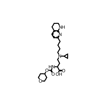 O=C(NC(CCN(CCCCc1ccc2c(n1)NCCC2)C1CC1)C(=O)O)OC1CCOCC1